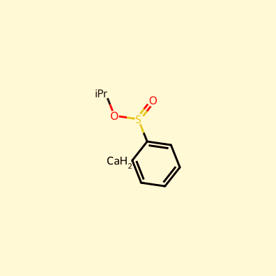 CC(C)OS(=O)c1ccccc1.[CaH2]